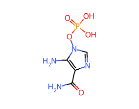 NC(=O)c1ncn(OP(=O)(O)O)c1N